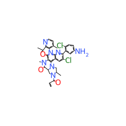 C=CC(=O)N1CC2C(=O)N(C)c3c(c4cc(Cl)c(-c5cc(N)ccc5Cl)nc4n(-c4c(C)ccnc4C(C)C)c3=O)N2CC1C